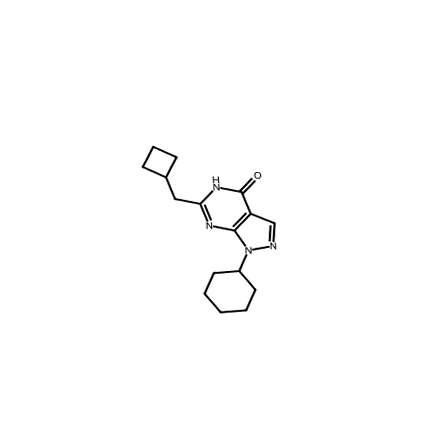 O=c1[nH]c(CC2CCC2)nc2c1cnn2C1CCCCC1